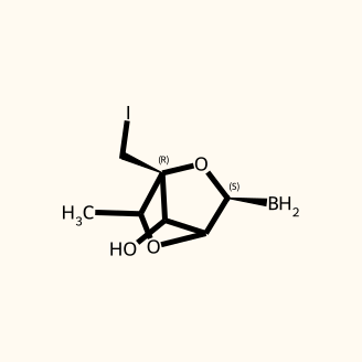 B[C@@H]1O[C@@]2(CI)C(C)OC1C2O